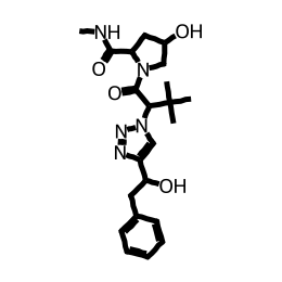 CNC(=O)C1CC(O)CN1C(=O)C(n1cc(C(O)Cc2ccccc2)nn1)C(C)(C)C